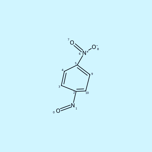 O=Nc1ccc([N+](=O)[O-])cc1